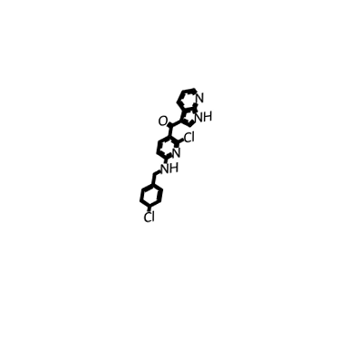 O=C(c1ccc(NCC2=CCC(Cl)C=C2)nc1Cl)c1c[nH]c2ncccc12